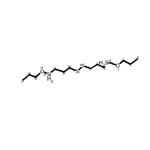 CCCO[SiH2]CCCSSCCC[SiH2]OCCC